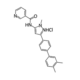 Cc1ccc(-c2ccc(-c3cc(NC(=O)c4cccnc4)n(C)n3)cc2)cc1C.Cl